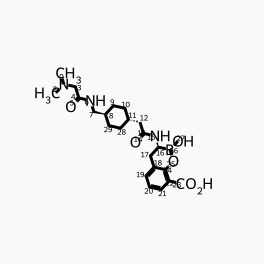 CN(C)CC(=O)NC[C@H]1CC[C@H](CC(=O)N[C@H]2Cc3cccc(C(=O)O)c3OB2O)CC1